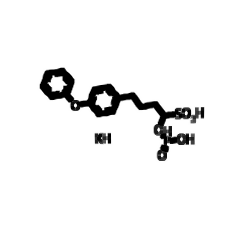 O=[PH](O)OC(CCCc1ccc(Oc2ccccc2)cc1)S(=O)(=O)O.[KH]